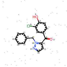 O=C(c1ccc(O)c(Cl)c1)c1ccnn1Cc1ccccc1